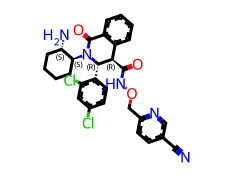 N#Cc1ccc(CONC(=O)[C@@H]2c3ccccc3C(=O)N([C@H]3CCCC[C@@H]3N)[C@H]2c2ccc(Cl)cc2Cl)nc1